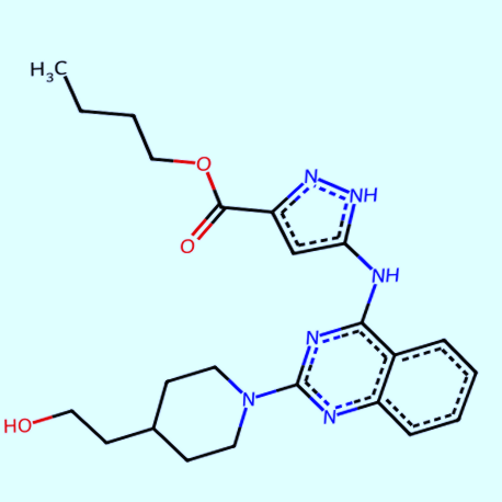 CCCCOC(=O)c1cc(Nc2nc(N3CCC(CCO)CC3)nc3ccccc23)[nH]n1